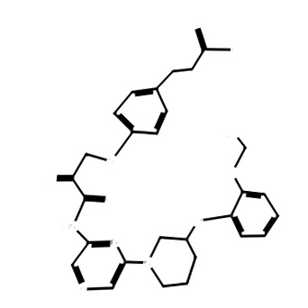 C=C(CNc1ccc(CCC(=O)O)cc1)C(=O)Nc1cncc(N2CCCC(Oc3ccccc3OCC)C2)n1